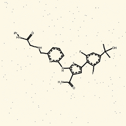 CC(C)NC(=O)CNCc1cccc(Nc2sc(-c3c(F)cc(C(C)(C)O)cc3F)cc2C(N)=O)n1